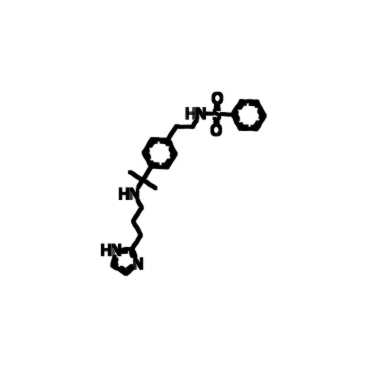 CC(C)(NCCCc1ncc[nH]1)c1ccc(CCNS(=O)(=O)c2ccccc2)cc1